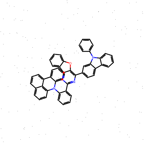 c1ccc(-n2c3ccccc3c3ccc(-c4nc(-c5ccccc5N5c6ccccc6-c6cccc7cccc5c67)nc5c4oc4ccccc45)cc32)cc1